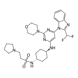 O=S(=O)(CCN1CCCC1)N[C@H]1CC[C@H](Nc2cc(-n3c(C(F)F)nc4ccccc43)nc(N3CCOCC3)n2)CC1